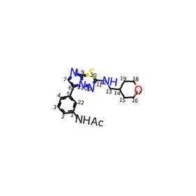 CC(=O)Nc1cccc(-c2cnc3sc(NCC4CCOCC4)nn23)c1